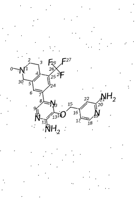 CN1CCc2c(cc(-c3cnc(N)c(OCc4ccnc(N)c4)n3)cc2C(F)(F)F)C1